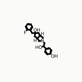 Oc1ccc(C(O)CN2C[C@@H]3CC(O)(Cc4ccccc4F)C[C@@H]3C2)cc1